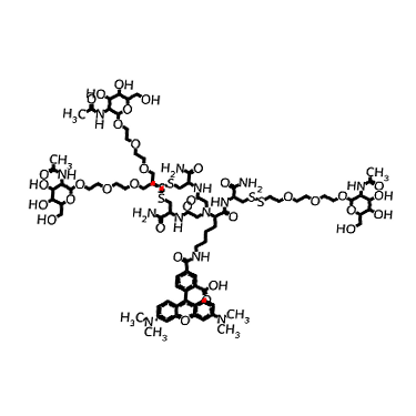 CC(=O)NC1C(OCCOCCOCCSSCC(NC(=O)CN(CC(=O)NC(CSSCCOCCOCCOC2OC(CO)C(O)C(O)C2NC(C)=O)C(N)=O)C(CCCCNC(=O)c2ccc(-c3c4ccc(=[N+](C)C)cc-4oc4cc(N(C)C)ccc34)c(C(=O)O)c2)C(=O)NC(CSSCCOCCOCCOC2OC(CO)C(O)C(O)C2NC(C)=O)C(N)=O)C(N)=O)OC(CO)C(O)C1O